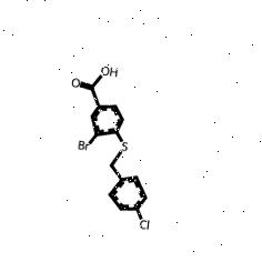 O=C(O)c1ccc(SCc2ccc(Cl)cc2)c(Br)c1